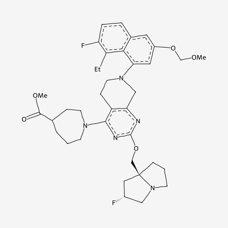 CCc1c(F)ccc2cc(OCOC)cc(N3CCc4c(nc(OC[C@@]56CCCN5C[C@H](F)C6)nc4N4CCCC(C(=O)OC)CC4)C3)c12